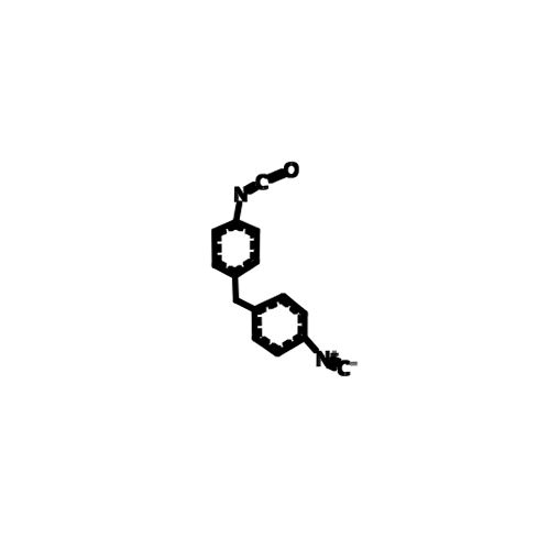 [C-]#[N+]c1ccc(Cc2ccc(N=C=O)cc2)cc1